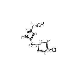 OCc1c[nH]c(Sc2ccc(Cl)cc2)c1